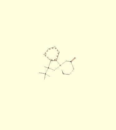 O=C1CCC[C@@]2(C1)CC(O)(C(F)(F)F)c1ccccc12